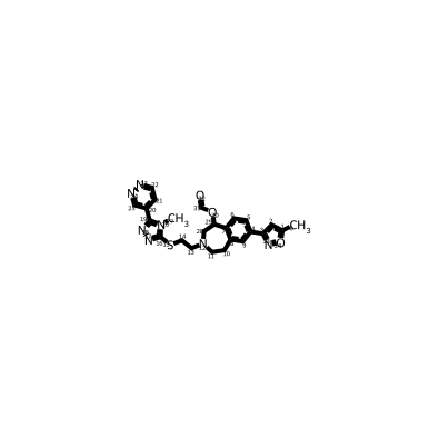 Cc1cc(-c2ccc3c(c2)CCN(CCSc2nnc(-c4ccnnc4)n2C)CC3OC=O)no1